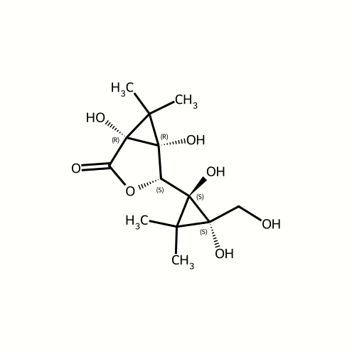 CC1(C)[C@](O)(CO)[C@@]1(O)[C@@H]1OC(=O)[C@@]2(O)C(C)(C)[C@@]12O